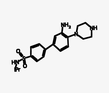 CC(C)NS(=O)(=O)c1ccc(-c2ccc(N3CCNCC3)c(N)c2)cc1